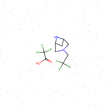 FC(F)(F)CN1CC2CC(C1)N2.O=C(O)C(F)(F)F